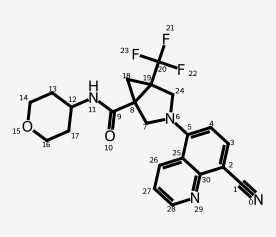 N#Cc1ccc(N2CC3(C(=O)NC4CCOCC4)CC3(C(F)(F)F)C2)c2cccnc12